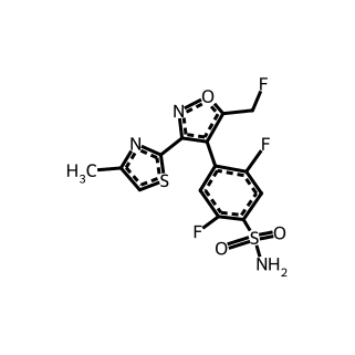 Cc1csc(-c2noc(CF)c2-c2cc(F)c(S(N)(=O)=O)cc2F)n1